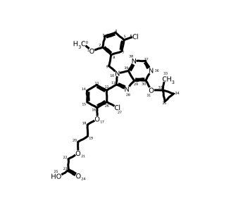 COc1ccc(Cl)cc1Cn1c(-c2cccc(OCCCOCC(=O)O)c2Cl)nc2c(OC3(C)CC3)ncnc21